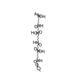 CC(=O)N(O)CCCCCNC(=O)CCC(=O)N(O)CCCCCNC(=O)CCC(=O)N(O)CCCCCNC(=O)COc1ccc(C)cc1